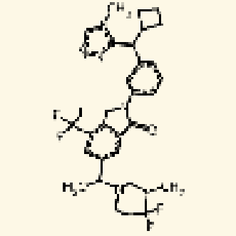 CC(c1cc2c(c(C(F)(F)F)c1)CN(c1cccc([C@@H](c3nncn3C)C3CCC3)c1)C2=O)N1CCC(F)(F)[C@H](C)C1